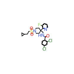 O=C(NCC1(c2ncccc2F)CCN(S(=O)(=O)CCC2CC2)CC1)c1ccc(Cl)cc1Cl